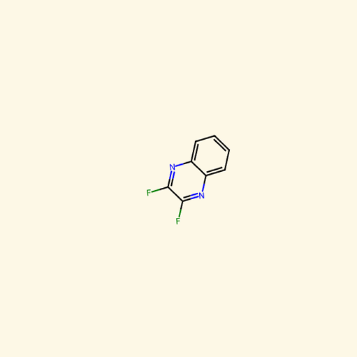 Fc1nc2ccccc2nc1F